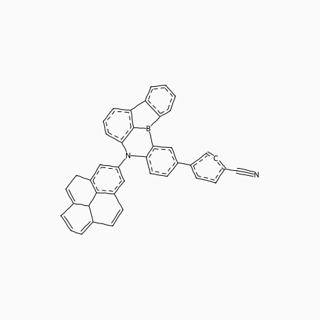 N#Cc1ccc(-c2ccc3c(c2)B2c4ccccc4-c4cccc(c42)N3c2cc3c4c(c2)CC=C2C=CC=C(C=C3)C24)cc1